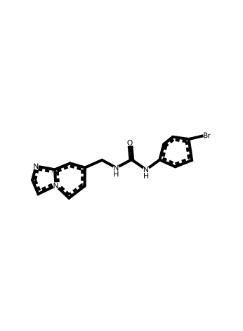 O=C(NCc1ccn2ccnc2c1)Nc1ccc(Br)cc1